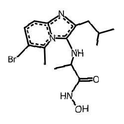 Cc1c(Br)ccc2nc(CC(C)C)c(NC(C)C(=O)NO)n12